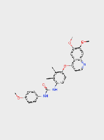 COc1ccc(NC(=O)Nc2ccc(Oc3ccnc4cc(OC)c(OC)cc34)c(C)c2C)cc1